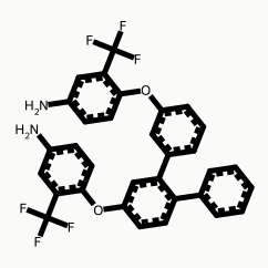 Nc1ccc(Oc2cccc(-c3cc(Oc4ccc(N)cc4C(F)(F)F)ccc3-c3ccccc3)c2)c(C(F)(F)F)c1